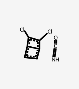 Clc1c2ccc-2c1Cl.N=C=O